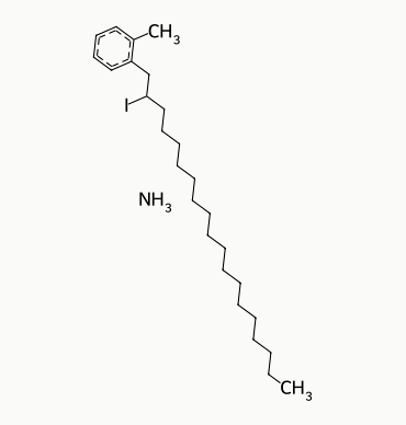 CCCCCCCCCCCCCCCCCC(I)Cc1ccccc1C.N